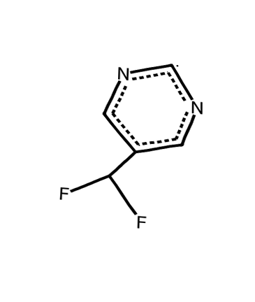 FC(F)c1cn[c]nc1